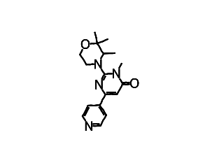 CC1N(c2nc(-c3ccncc3)cc(=O)n2C)CCOC1(C)C